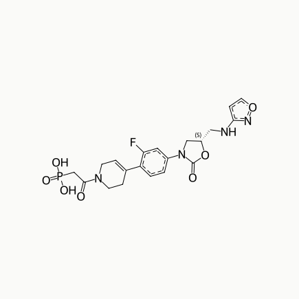 O=C(CP(=O)(O)O)N1CC=C(c2ccc(N3C[C@H](CNc4ccon4)OC3=O)cc2F)CC1